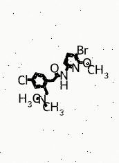 COc1nc(NC(=O)Cc2ccc(Cl)cc2CN(C)C)ccc1Br